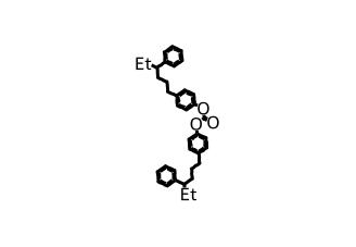 CCC(CCCc1ccc(OC(=O)Oc2ccc(CCCC(CC)c3ccccc3)cc2)cc1)c1ccccc1